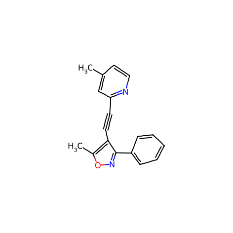 Cc1ccnc(C#Cc2c(-c3ccccc3)noc2C)c1